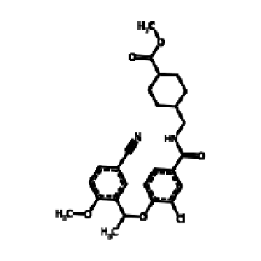 COC(=O)C1CCC(CNC(=O)c2ccc(OC(C)c3cc(C#N)ccc3OC)c(Cl)c2)CC1